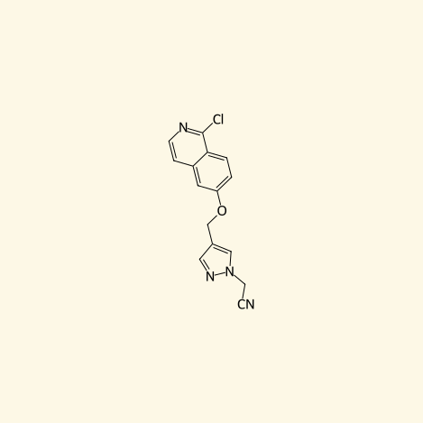 N#CCn1cc(COc2ccc3c(Cl)nccc3c2)cn1